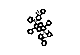 Cc1ccccc1N(c1cc(-c2ccccc2)c2ccc3c(N(c4ccccc4)c4ccc5c(c4)[Si](C)(C)c4ccccc4-5)cc(-c4ccccc4)c4ccc1c2c43)c1cccc2c1oc1ccccc12